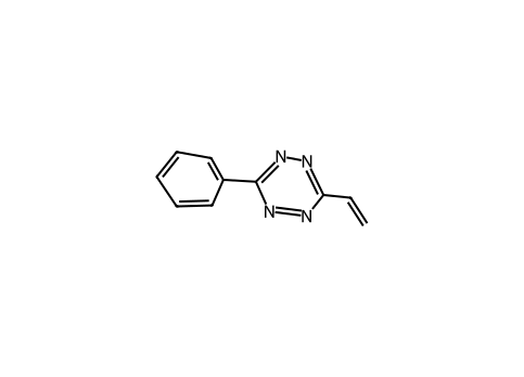 C=Cc1nnc(-c2ccccc2)nn1